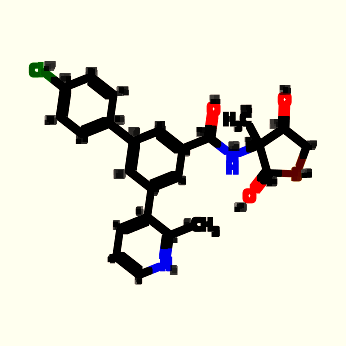 Cc1ncccc1-c1cc(C(=O)NC2(C)C(=O)CSC2=O)cc(-c2ccc(Cl)cc2)c1